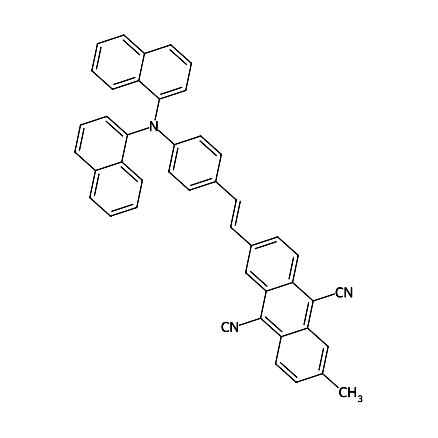 [C-]#[N+]c1c2ccc(C)cc2c(C#N)c2ccc(C=Cc3ccc(N(c4cccc5ccccc45)c4cccc5ccccc45)cc3)cc12